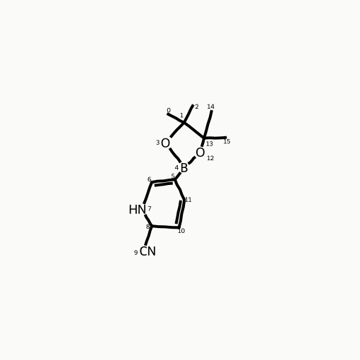 CC1(C)OB(C2=CNC(C#N)C=C2)OC1(C)C